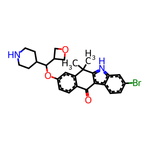 CC1(C)c2cc(OC(C3CCNCC3)C3COC3)ccc2C(=O)c2c1[nH]c1cc(Br)ccc21